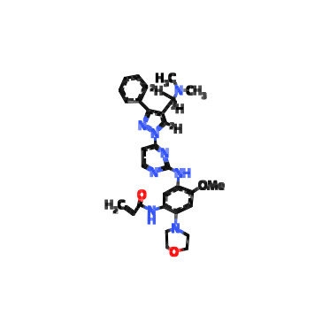 [2H]c1c(C([2H])([2H])N(C)C)c(-c2ccccc2)nn1-c1ccnc(Nc2cc(NC(=O)C=C)c(N3CCOCC3)cc2OC)n1